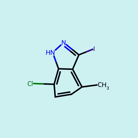 Cc1ccc(Cl)c2[nH]nc(I)c12